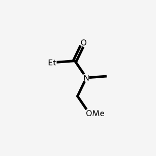 CCC(=O)N(C)COC